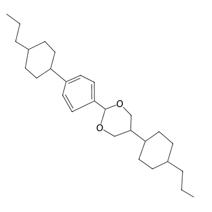 CCCC1CCC(c2ccc(C3OCC(C4CCC(CCC)CC4)CO3)cc2)CC1